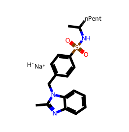 CCCCCC(C)NS(=O)(=O)c1ccc(Cn2c(C)nc3ccccc32)cc1.[H-].[Na+]